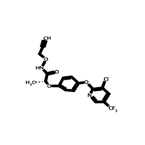 C#CCONC(=O)[C@@H](C)Oc1ccc(Oc2ncc(C(F)(F)F)cc2Cl)cc1